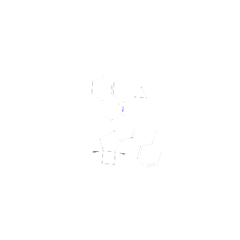 Nc1ccccc1C(=O)N1[C@@H](C(=O)N[C@@H](c2ccc(C(F)(F)F)cc2F)C2CC2)C[C@H]2CC[C@H]21